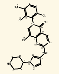 Cc1ccc(Cl)c(-n2cc(Br)c3nc(Nc4cnn(C5CCNCC5)c4)ncc3c2=O)c1Cl